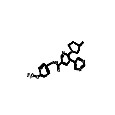 CC1CCN(c2ncc(C(=O)Nc3ccc(OC(F)(F)F)cc3)cc2-c2cncnc2)CC1